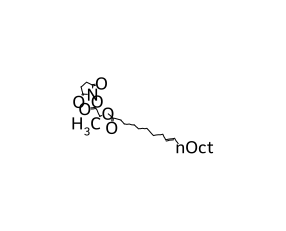 CCCCCCCCC=CCCCCCCCC(=O)O[C@@H](C)C(=O)ON1C(=O)CCC1=O